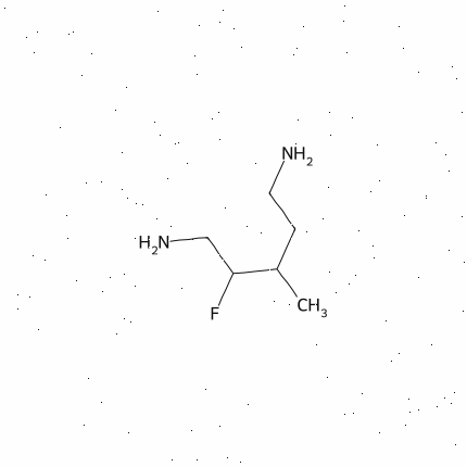 CC(CCN)C(F)CN